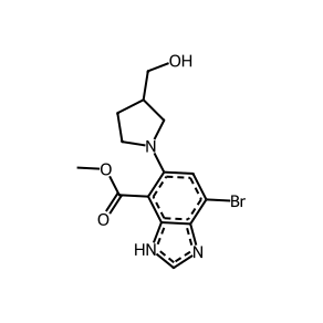 COC(=O)c1c(N2CCC(CO)C2)cc(Br)c2nc[nH]c12